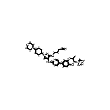 CC(Cn1cnnn1)Oc1cc(-c2cnc(Nc3cn(C4CCC(N5CCOCC5)CC4)nc3OCCCC#N)nc2)ccc1Cl